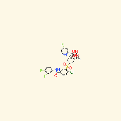 C[C@H]1CC2CC(S(=O)(=O)c3cc(C(=O)Nc4ccc(F)c(F)c4)ccc3Cl)CC1[C@@]2(O)[C@H](O)c1cc(F)ccn1